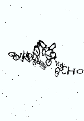 COc1nc(-c2cccc(-c3cccc(-c4ccn5c(=O)c(CNC[C@@H]6CCC(=O)N6)c(C)nc5c4)c3Cl)c2Cl)ccc1CN[C@H]1CCOC[C@@H]1OC=O